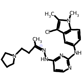 C/C(CCN1CCCC1)=N/Nc1ccnc(Nc2ccc3c(c2)c(Cl)c(C)n3C)n1